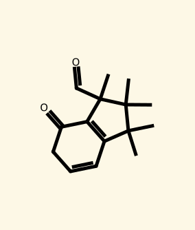 CC1(C)C2=C(C(=O)CC=C2)C(C)(C=O)C1(C)C